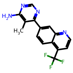 Cc1c(N)ncnc1-c1ccc2c(C(F)(F)F)ccnc2c1